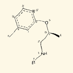 CCNC[C@H](C)Oc1cc(C)ccn1